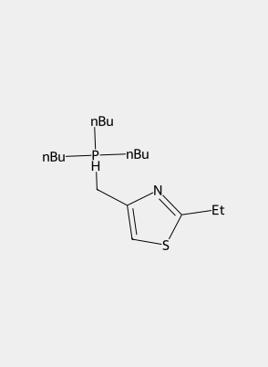 CCCC[PH](CCCC)(CCCC)Cc1csc(CC)n1